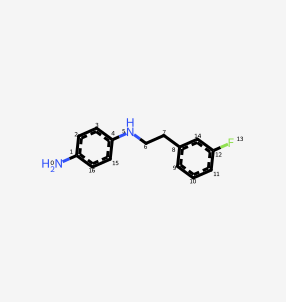 Nc1ccc(NCCc2cccc(F)c2)cc1